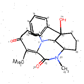 COc1c2n(ccc1=O)C1C(CCCC1(O)c1ccccc1)N(C)C2=O